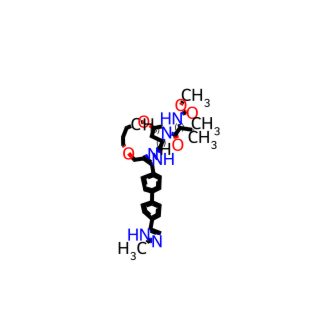 COC(=O)N[C@H](C(=O)N1C[C@@H]2C[C@H]1c1nc(c(-c3ccc(-c4ccc(-c5cnc(C)[nH]5)cc4)cc3)[nH]1)COCCCCO2)C(C)C